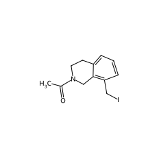 CC(=O)N1CCc2cccc(CI)c2C1